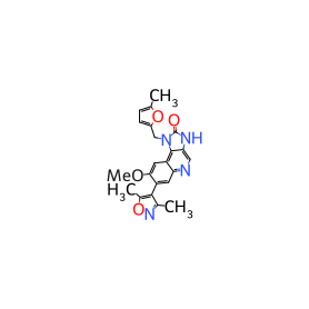 COc1cc2c(cc1-c1c(C)noc1C)ncc1[nH]c(=O)n(Cc3ccc(C)o3)c12